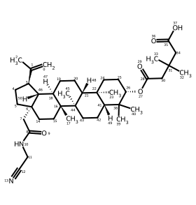 C=C(C)[C@@H]1CC[C@]2(CC(=O)NCC#N)CC[C@]3(C)[C@H](CC[C@@H]4[C@@]5(C)CC[C@H](OC(=O)CC(C)(C)CC(=O)O)C(C)(C)[C@@H]5CC[C@]43C)[C@@H]12